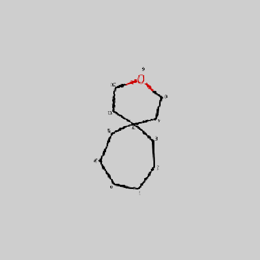 C1CCCC2(CC1)CCOCC2